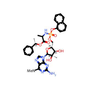 CNc1nc(N)nc2c1ncn2C1O[C@H](COP(=O)(NC(C)C(=O)O[C@@H](C)c2ccccc2)Oc2cccc3ccccc23)[C@@H](O)[C@@]1(C)O